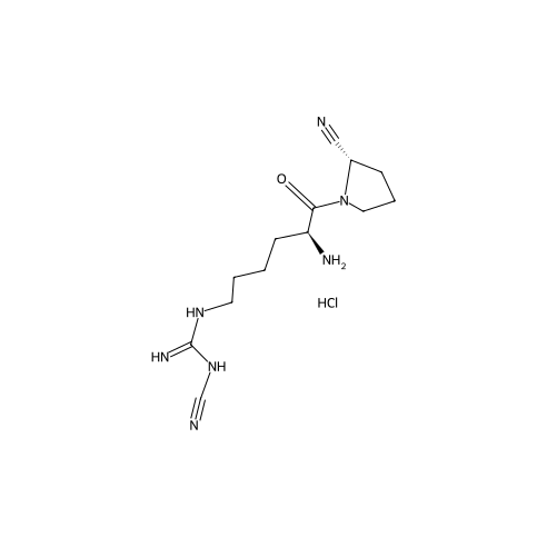 Cl.N#CNC(=N)NCCCC[C@H](N)C(=O)N1CCC[C@H]1C#N